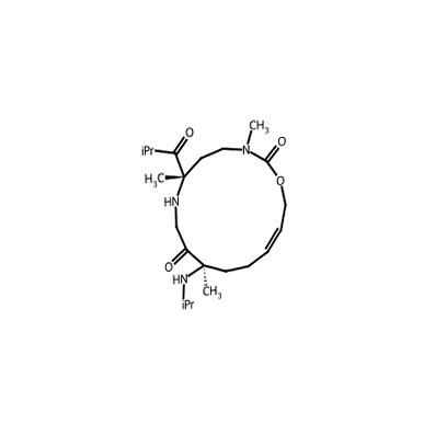 CC(C)N[C@]1(C)CCC=CCOC(=O)N(C)CC[C@@](C)(C(=O)C(C)C)NCC1=O